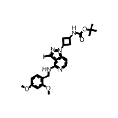 COc1ccc(CNc2nccc3c2c(I)nn3C2CC(NC(=O)OC(C)(C)C)C2)c(OC)c1